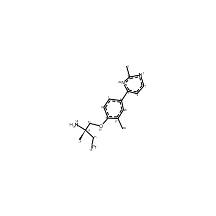 Cc1nccc(-c2ccc(OC[C@@](C)(N)CC(C)C)c(C)c2)n1